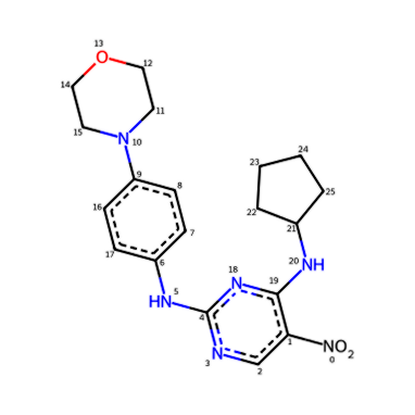 O=[N+]([O-])c1cnc(Nc2ccc(N3CCOCC3)cc2)nc1NC1CCCC1